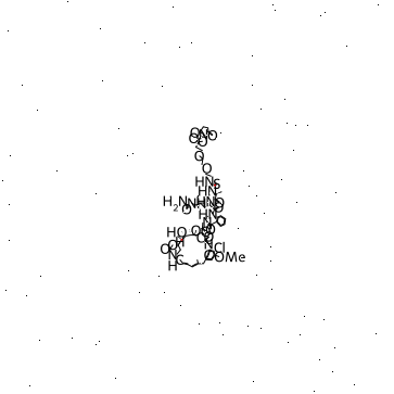 COc1cc2cc(c1Cl)N(C)C(=O)C[C@H](OC(=O)CN(C)C(=O)c1ccccc1NC(=O)[C@H](CCCNC(N)=O)NC(=O)[C@H](C)NC(=S)NCCOCCOCCC(=O)ON1C(=O)CCC1=O)[C@@H](C)[C@@H](O)[C@H](C)[C@@H]1CC(C/C=C/C=C(\C)C2)NC(=O)O1